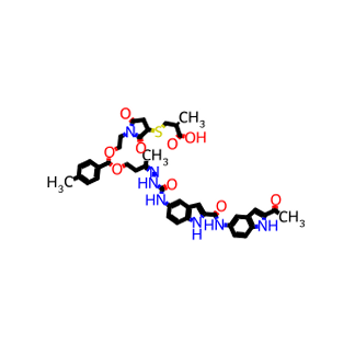 CC(=O)c1cc2cc(NC(=O)c3cc4cc(NC(=O)N/N=C(/C)CCOC(OCCN5C(=O)CC(SC[C@@H](C)C(=O)O)C5=O)c5ccc(C)cc5)ccc4[nH]3)ccc2[nH]1